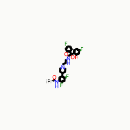 CC(C)C(=O)Nc1cc(C2CCN(CCCNC(=O)C(O)(c3ccc(F)cc3)c3ccc(F)cc3)CC2)c(F)cc1F